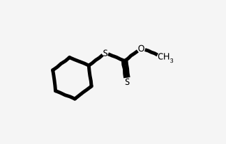 COC(=S)SC1CCCCC1